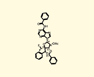 CC(=O)O[C@H]1[C@H](n2cnc3c(NC(=O)c4ccccc4)ncnc32)O[C@](C(F)F)(C(O)c2ccccc2)[C@H]1OCc1ccccc1